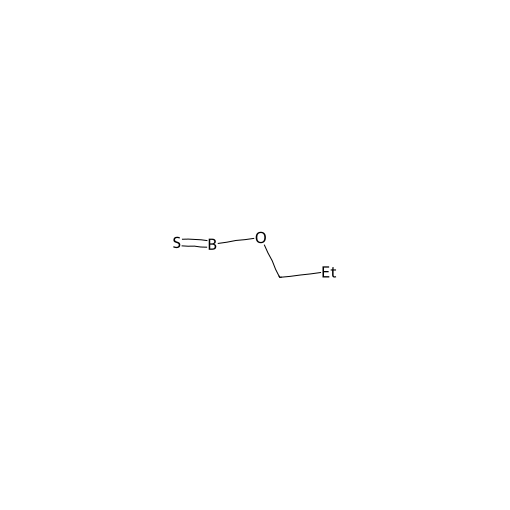 CCCOB=S